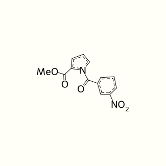 COC(=O)c1cccn1C(=O)c1cccc([N+](=O)[O-])c1